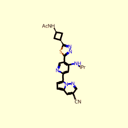 CC(=O)N[C@H]1C[C@@H](c2nnc(-c3cnc(-c4ccc5cc(C#N)cnn45)cc3NC(C)C)s2)C1